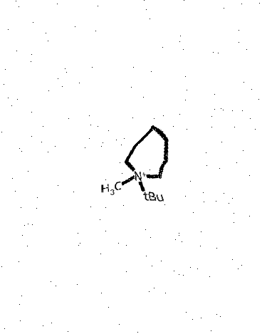 CC(C)(C)[N+]1(C)CCCCCC1